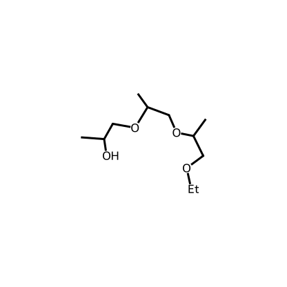 CCOCC(C)OCC(C)OCC(C)O